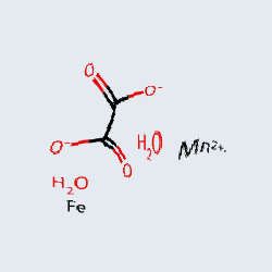 O.O.O=C([O-])C(=O)[O-].[Fe].[Mn+2]